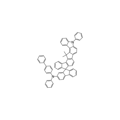 CC1(C)c2c(ccc3c2-c2ccccc2C32c3ccccc3-c3ccc(N(c4ccccc4)c4ccc(-c5ccccc5)cc4)cc32)-c2ccc3c(c21)c1ccccc1n3-c1ccccc1